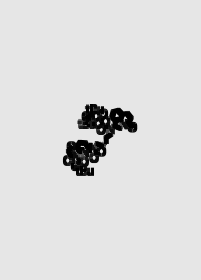 CC(C)(C)OC(=O)N1C(=O)COc2ccc(N3C[C@H](CCCN(C(=O)OC(OP=O)(OC(C)(C)C)OC(C)(C)C)[C@@H]4Cn5c(=O)ccc6cccc4c65)OC3=O)nc21